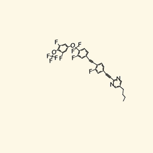 CCCCc1cnc(C#Cc2ccc(C#Cc3ccc(C(F)(F)Oc4cc(F)c(OC(F)(F)F)c(F)c4)c(F)c3)c(F)c2)nc1